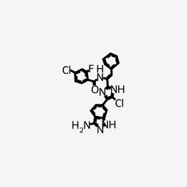 Nc1n[nH]c2cc(-c3nc(C(=Cc4ccccc4)NC(=O)c4ccc(Cl)cc4F)[nH]c3Cl)ccc12